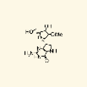 COC1C(O)[C@@H](CO)O[C@H]1C1CNc2c1nc(N)[nH]c2=O